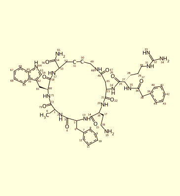 CC1NC(=O)C(Cc2ccccc2)NC(=O)[C@H](CCN)NC(=O)C(NC(=O)[C@H](CCCNC(=N)N)NC(=O)Cc2ccccc2)CC(=O)NCCCCC(C(N)=O)NC(=O)[C@H](Cc2c[nH]c3ccccc23)NC1=O